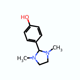 CN1CCN(C)C1c1ccc(O)cc1